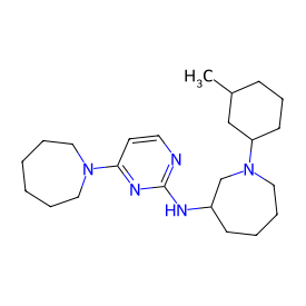 CC1CCCC(N2CCCCC(Nc3nccc(N4CCCCCC4)n3)C2)C1